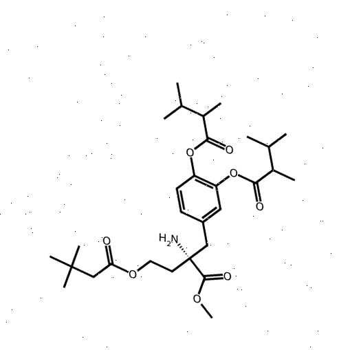 COC(=O)[C@@](N)(CCOC(=O)CC(C)(C)C)Cc1ccc(OC(=O)C(C)C(C)C)c(OC(=O)C(C)C(C)C)c1